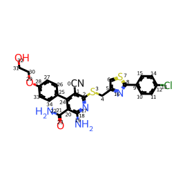 N#Cc1c(SCc2csc(-c3ccc(Cl)cc3)n2)nc(N)c(C(N)=O)c1-c1ccc(OCCO)cc1